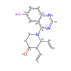 C=CC1C(=O)CCN(c2ncnc3ccc(I)cc23)C1C=C